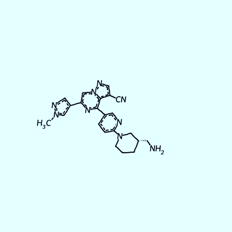 Cn1cc(-c2cn3ncc(C#N)c3c(-c3ccc(N4CCC[C@@H](CN)C4)nc3)n2)cn1